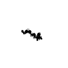 CCc1nc2c(cnn2CC)c(NC2CCOCC2)c1CNC(=O)c1cccc(C(=O)NCc2ccc(Cl)c(-c3cccc(CN(C)CCN(C)C)c3)c2)n1